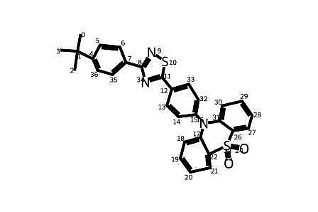 CC(C)(C)c1ccc(-c2nsc(-c3ccc(N4c5ccccc5S(=O)(=O)c5ccccc54)cc3)n2)cc1